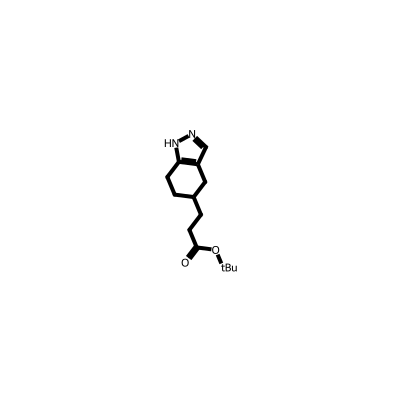 CC(C)(C)OC(=O)CCC1CCc2[nH]ncc2C1